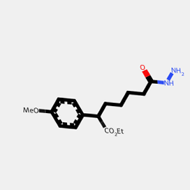 CCOC(=O)C(CCCCC(=O)NN)c1ccc(OC)cc1